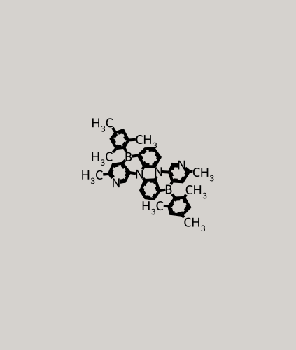 Cc1cc(C)c(B2c3cc(C)ncc3N3c4cccc5c4N(c4cnc(C)cc4B5c4c(C)cc(C)cc4C)c4cccc2c43)c(C)c1